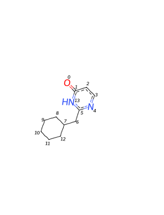 O=c1ccnc(CC2CCCCC2)[nH]1